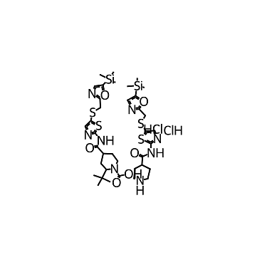 CC(C)(C)C1CC(C(=O)Nc2ncc(SCc3ncc([Si](C)(C)C)o3)s2)CCN1C(=O)O.C[Si](C)(C)c1cnc(CSc2cnc(NC(=O)C3CCNCC3)s2)o1.Cl.Cl